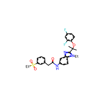 CCn1c(C(C)(C)Oc2ccc(F)cc2F)nc2cc(NC(=O)Cc3cccc(S(=O)(=O)CC)c3)ccc21